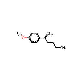 C=C(CCCC)c1ccc(OC)cc1